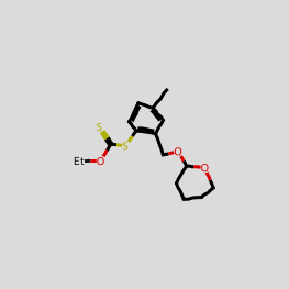 CCOC(=S)Sc1ccc(C)cc1COC1CCCCO1